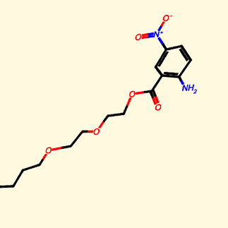 CCCCOCCOCCOC(=O)c1cc([N+](=O)[O-])ccc1N